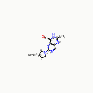 CC(=O)N[C@H]1CCN(c2ncc3c(n2)C(=C=O)NC(C)=N3)C1